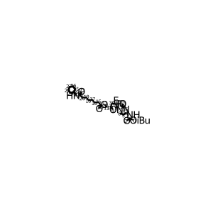 CC(C)COC(=O)Nc1ccn([C@@H]2O[C@H](COC(=O)CCCCCCC(=O)Nc3ccccc3)CC2(F)F)c(=O)n1